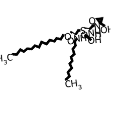 CCCCCCCCCCCCCCCCOC[C@@H](CSC[C@H](NC(=O)O)C(=O)NC1(CO)CC1)NC(=O)CCCCCCCCCCC